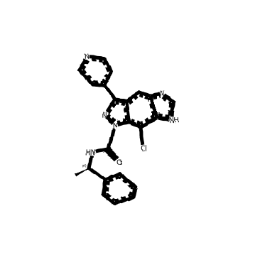 C[C@@H](NC(=O)n1nc(-c2ccncc2)c2cc3nc[nH]c3c(Cl)c21)c1ccccc1